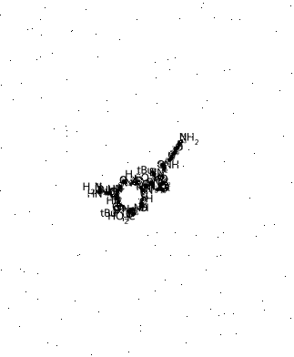 CC(C)(C)SC[C@H](NC(=O)[C@H](Cc1ccccc1)NC(=O)[C@@H]1CSCC(=O)N[C@@H](CC(=O)O)C(=O)N[C@@H](CSC(C)(C)C)C(=O)N[C@@H](CCCNC(=N)N)C(=O)NCC(=O)N[C@@H](CC(=O)O)C(=O)N1)C(=O)NCC(=O)NCCOCCOCCN